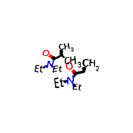 C=C(C)C(=O)N(CC)CC.C=CC(=O)N(CC)CC